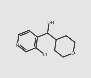 OC(c1ccncc1Cl)C1CCOCC1